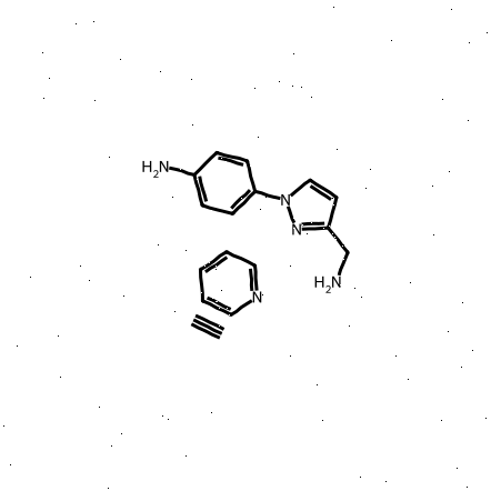 C#C.NCc1ccn(-c2ccc(N)cc2)n1.c1ccncc1